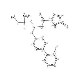 CC(CO)(C[C@@H](Cc1ccc(-c2ccccc2F)cc1)NC(=O)c1coc(=O)[nH]1)C(=O)O